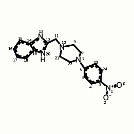 O=[N+]([O-])c1ccc(N2CCN(Cc3nc4ccccc4[nH]3)CC2)cc1